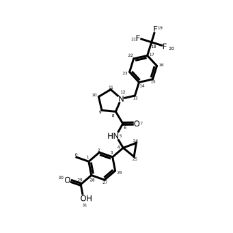 Cc1cc(C2(NC(=O)C3CCCN3Cc3ccc(C(F)(F)F)cc3)CC2)ccc1C(=O)O